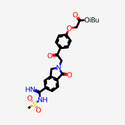 CC(C)COC(=O)COc1ccc(C(=O)CN2Cc3cc(C(=N)NS(C)(=O)=O)ccc3C2=O)cc1